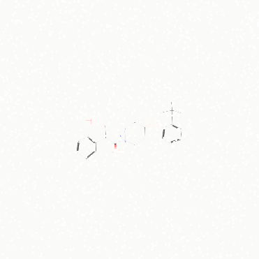 CC(C)(C)c1ccccc1OC1CCN(C(=O)C(CO)c2ccccc2)CC1